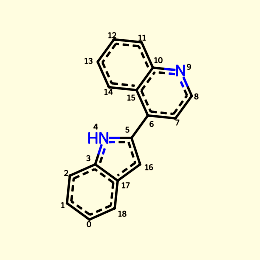 c1ccc2[nH]c(-c3ccnc4ccccc34)cc2c1